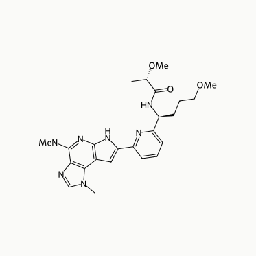 CNc1nc2[nH]c(-c3cccc([C@H](CCCOC)NC(=O)[C@H](C)OC)n3)cc2c2c1ncn2C